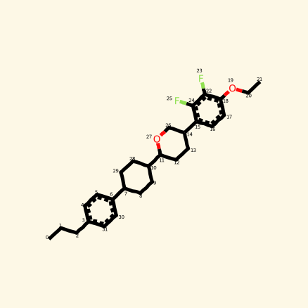 CCCc1ccc(C2CCC(C3CCC(c4ccc(OCC)c(F)c4F)CO3)CC2)cc1